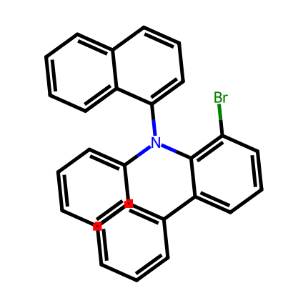 Brc1cccc(-c2ccccc2)c1N(c1ccccc1)c1cccc2ccccc12